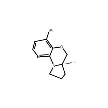 CC(C)c1ccnc2c1OC[C@@]1(C)CCCN21